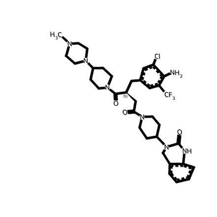 CN1CCN(C2CCN(C(=O)[C@H](CC(=O)N3CCC(N4Cc5ccccc5NC4=O)CC3)Cc3cc(Cl)c(N)c(C(F)(F)F)c3)CC2)CC1